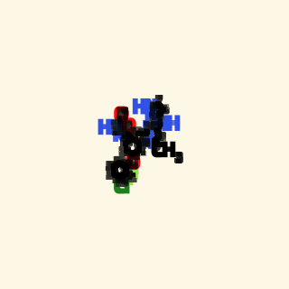 Cc1cc(Nc2cc[nH]n2)nc(C[C@]2(c3n[nH]c(=O)o3)CC[C@H](Oc3cccc(Cl)c3F)CC2)n1